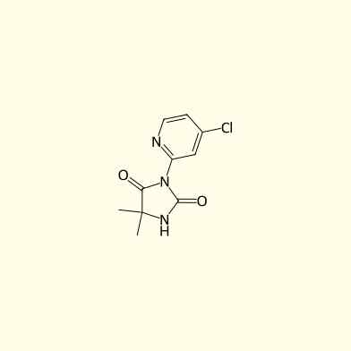 CC1(C)NC(=O)N(c2cc(Cl)ccn2)C1=O